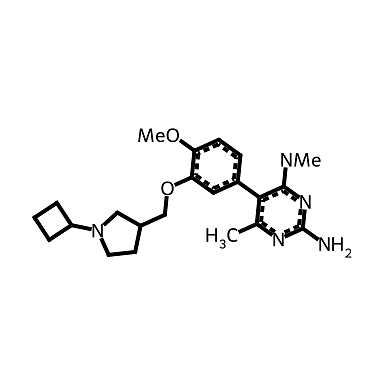 CNc1nc(N)nc(C)c1-c1ccc(OC)c(OCC2CCN(C3CCC3)C2)c1